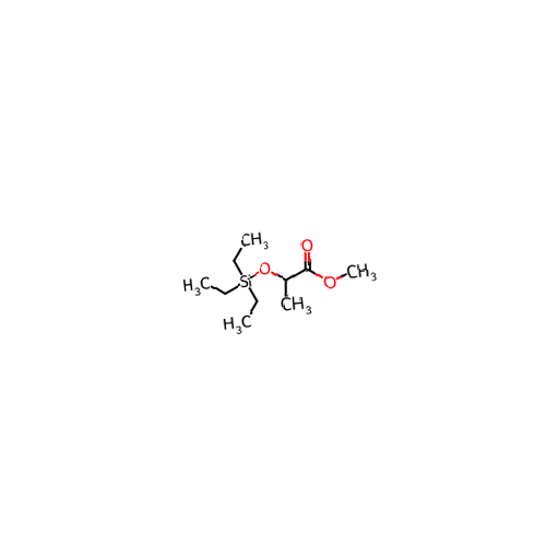 CC[Si](CC)(CC)OC(C)C(=O)OC